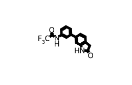 O=C1Cc2ccc(-c3cccc(NC(=O)C(F)(F)F)c3)cc2N1